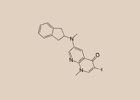 CN(c1cnc2c(c1)c(=O)c(I)cn2C)C1Cc2ccccc2C1